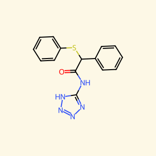 O=C(Nc1nnn[nH]1)C(Sc1ccccc1)c1ccccc1